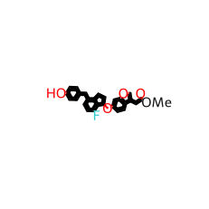 COC(=O)CC1COc2cc(O[C@@H]3CCc4c(Cc5ccc(O)cc5)ccc(F)c43)ccc21